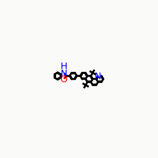 CC(C)(C)c1c2cc(-c3ccc(C4Nc5ccccc5O4)cc3)ccc2c(C(C)(C)C)c2c1ccc1cccnc12